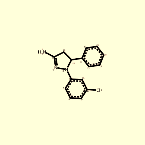 NC1=NN(c2cccc(Cl)c2)C(c2ccccc2)C1